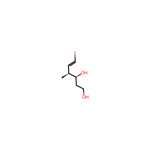 C[C@@H](/C=C/I)[C@@H](O)CCO